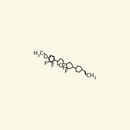 C/C=C/C1CCC(C2CCC(C3CCC(c4ccc(OCC)c(F)c4F)CO3)C(F)(F)C2)CC1